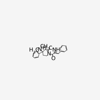 CN[C@@H](Cc1ccccc1)C(=O)N1CCC(c2ccccc2)(N(C)C)CC1